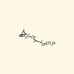 C1CO1.O=C(O)OCCOC(=O)O